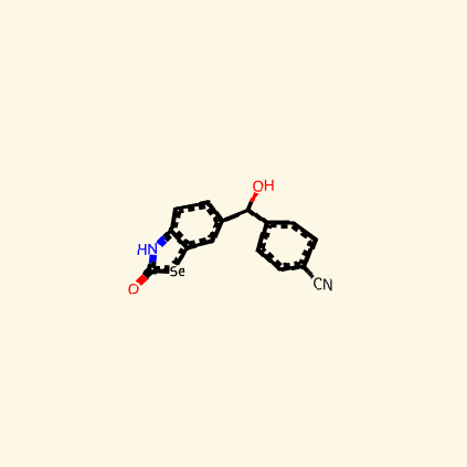 N#Cc1ccc(C(O)c2ccc3[nH]c(=O)[se]c3c2)cc1